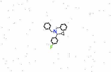 Fc1ccc(C(C2CC2)N(Cc2ccccc2)Cc2ccccc2)cc1